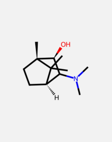 CN(C)C1[C@H]2CC[C@](C)([C@H]1O)C2(C)C